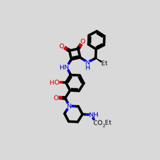 CCOC(=O)NC1CCCN(C(=O)c2cccc(Nc3c(N[C@H](CC)c4ccccc4)c(=O)c3=O)c2O)C1